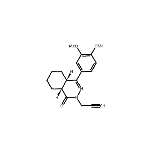 C#CCN1N=C(c2ccc(OC)c(OC)c2)[C@H]2CCCC[C@H]2C1=O